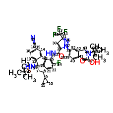 CC(C)(C)SN[C@@](CCC1CC1)(c1ccc(C#N)cc1)c1ccc(F)c(NC(=O)c2cc(C(F)(F)F)nn2-c2cccc(CN(C(=O)O)C(C)(C)C)c2)c1